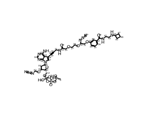 CP(O)OP(=O)(O)OP(=O)(O)OC[C@H]1O[C@@H](n2cc(C#CCNC(=O)COCCOC(COc3cccc(C(=O)NCCNC4CCC4)c3)N=[N+]=[N-])c3c(N)ncnc32)CC1OCN=[N+]=[N-]